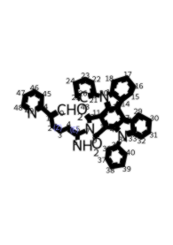 C=C(/C=C\C=C(/N)N1C(=O)c2c(c3c(c4ccccc4n3-c3ccccc3)c3c4ccccc4n(-c4ccccc4)c23)C1=O)c1ccccn1